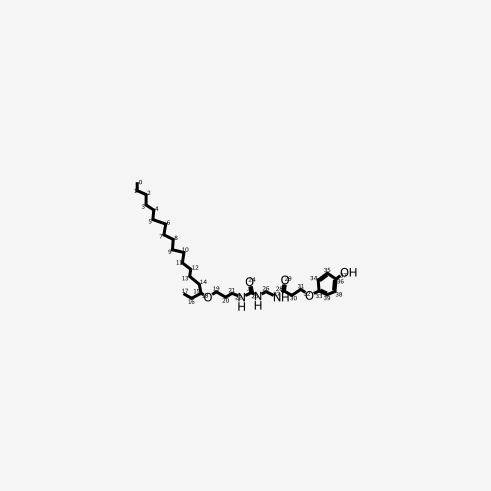 CCCCCCCCCCCCCCCC(CC)OCCCNC(=O)NCNC(=O)CCOc1ccc(O)cc1